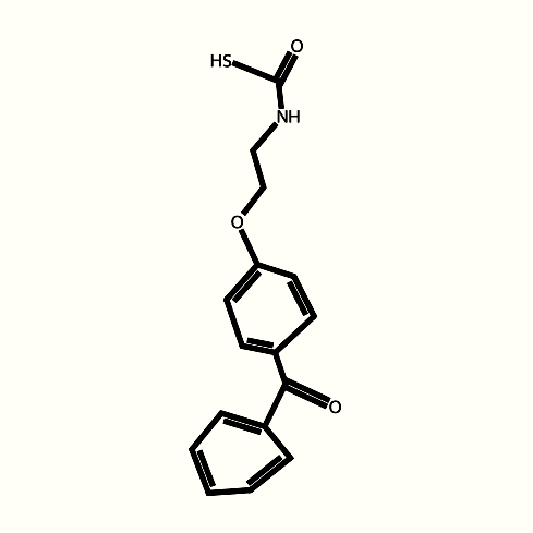 O=C(S)NCCOc1ccc(C(=O)c2ccccc2)cc1